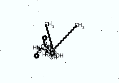 CCCCCCCCCCCCCCCCCCN(C(=O)CCCCCCCCCCCCC)[C@@H]1O[C@H](CO)[C@@H](O)[C@H](O)[C@H]1NC(=O)[C@H](CCC(=N)OCc1ccccc1)NC(=O)OCc1ccccc1